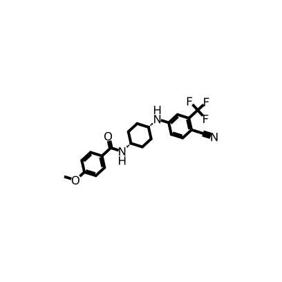 COc1ccc(C(=O)N[C@H]2CC[C@@H](Nc3ccc(C#N)c(C(F)(F)F)c3)CC2)cc1